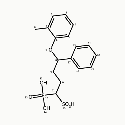 Cc1ccccc1OC(CCC(P(=O)(O)O)S(=O)(=O)O)c1ccccc1